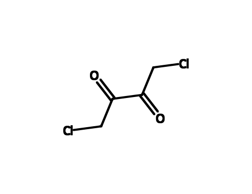 O=C(CCl)C(=O)CCl